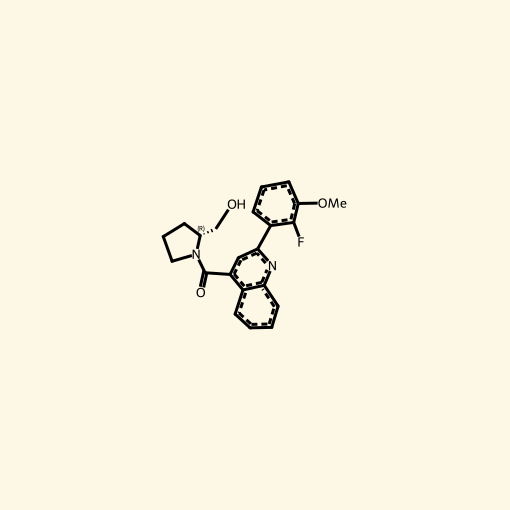 COc1cccc(-c2cc(C(=O)N3CCC[C@@H]3CO)c3ccccc3n2)c1F